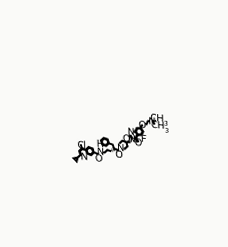 CN(C)CCOc1cc(F)c2c(=O)n(CC3(O)CCN(C(=O)[C@H](CCCNC(=O)c4ccc5c(Cl)cc(C6CC6)nc5c4)Cc4ccccc4)CC3)cnc2c1